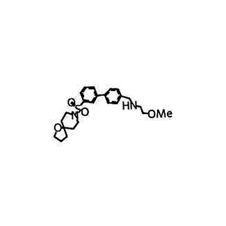 COCCNCc1ccc(-c2cccc(S(=O)(=O)N3CCC4(CCCO4)CC3)c2)cc1